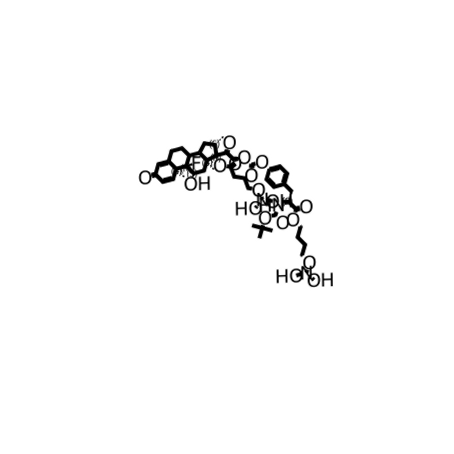 C[C@H]1CC2C3CCC4=CC(=O)C=C[C@]4(C)[C@@]3(F)[C@@H](O)C[C@]2(C)[C@@]1(OC(=O)CCCON(O)O)C(=O)COC(=O)Oc1ccc(C[C@H](NC(=O)OC(C)(C)C)C(=O)OCCCCON(O)O)cc1